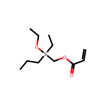 C=CC(=O)OC[Si](CC)(CCC)OCC